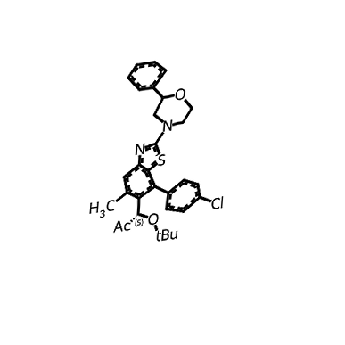 CC(=O)[C@@H](OC(C)(C)C)c1c(C)cc2nc(N3CCOC(c4ccccc4)C3)sc2c1-c1ccc(Cl)cc1